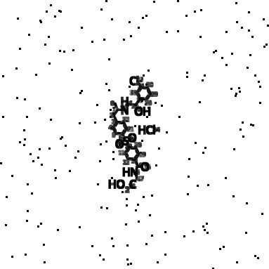 C[C@H](Cc1ccc(S(=O)(=O)c2ccc(C(=O)NCC(=O)O)cc2)cc1)NC[C@@H](O)c1cccc(Cl)c1.Cl